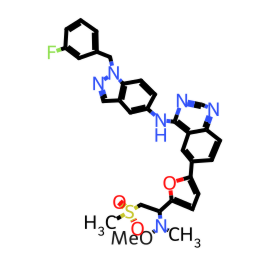 CON(C)C(CS(C)(=O)=O)c1ccc(-c2ccc3ncnc(Nc4ccc5c(cnn5Cc5cccc(F)c5)c4)c3c2)o1